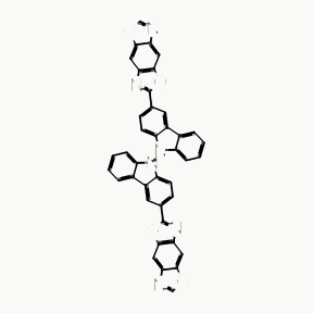 c1ccc2c(c1)c1cc(-c3nc4cc5ocnc5cc4o3)ccc1n2-n1c2ccccc2c2cc(-c3nc4cc5ocnc5cc4o3)ccc21